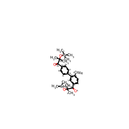 COc1ccc(C(=O)C(C)(C)O[SiH](C)C)cc1-c1ccc(C(=O)C(C)(C)O[Si](C)(C)C)cc1